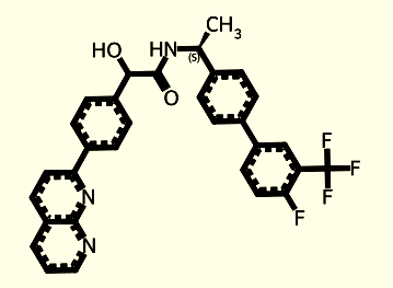 C[C@H](NC(=O)C(O)c1ccc(-c2ccc3cccnc3n2)cc1)c1ccc(-c2ccc(F)c(C(F)(F)F)c2)cc1